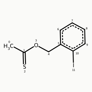 CC(=S)OCc1ccccc1I